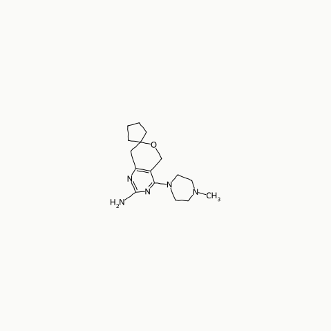 CN1CCN(c2nc(N)nc3c2COC2(CCCC2)C3)CC1